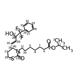 CC(C)OC(=O)CCCCCCN1C(=O)SCC[C@@H]1C=C[C@@H](O)C(F)(F)c1ccccc1